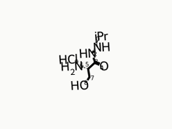 CC(C)NNC(=O)[C@@H](N)CO.Cl